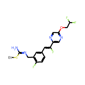 CCS/C(N)=N\Cc1cc(/C=C(\F)c2cnc(OCC(F)F)cn2)ccc1F